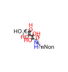 CCCCCCCCC/C=C/NC(=O)[C@@H](O)[C@H](O)[C@@H](O)[C@@H](O)C(=O)O